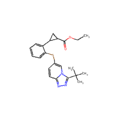 CCOC(=O)C1CC1c1ccccc1Sc1ccc2nnc(C(C)(C)C)n2c1